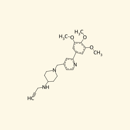 C#CCNC1CCN(Cc2ccnc(-c3cc(OC)c(OC)c(OC)c3)c2)CC1